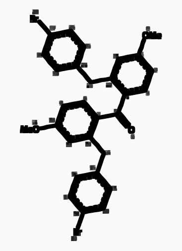 COc1ccc(C(=O)c2ccc(OC)cc2Cc2ccc(Br)cc2)c(Cc2ccc(Br)cc2)c1